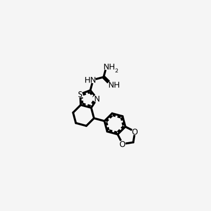 N=C(N)Nc1nc2c(s1)CCCC2c1ccc2c(c1)OCO2